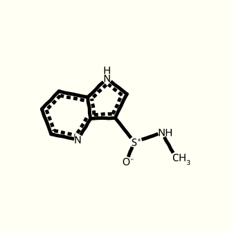 CN[S+]([O-])c1c[nH]c2cccnc12